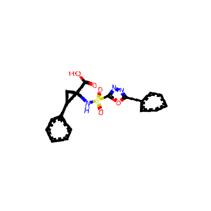 O=C(O)C1(NS(=O)(=O)c2nnc(-c3ccccc3)o2)CC1c1ccccc1